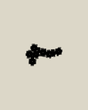 c1ccc(-c2cn3ccc(-c4ccc(-c5nc6ccccc6c6c5ccc5c6c6ccccc6n5-c5ccccc5)cc4)cc3n2)cc1